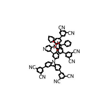 N#Cc1cc(C#N)cc(-c2ccc3c(c2)c2cc(-c4cc(C#N)cc(C#N)c4)ccc2n3-c2ccc(-c3nc(-c4ccccc4)nc(-c4ccccc4)n3)c(-c3cnccc3-n3c4ccc(-c5cc(C#N)cc(C#N)c5)cc4c4cc(-c5cc(C#N)cc(C#N)c5)ccc43)c2)c1